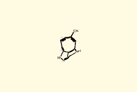 N#CC1=CC2=c3c(n[nH]/c3=C/C=C\1)N2